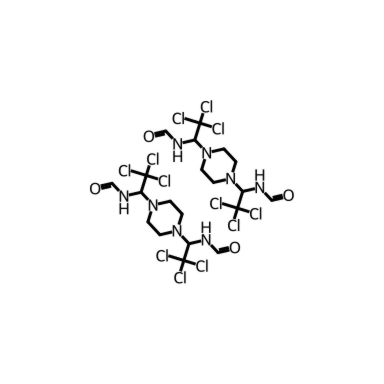 O=CNC(N1CCN(C(NC=O)C(Cl)(Cl)Cl)CC1)C(Cl)(Cl)Cl.O=CNC(N1CCN(C(NC=O)C(Cl)(Cl)Cl)CC1)C(Cl)(Cl)Cl